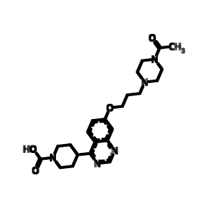 CC(=O)N1CCN(CCCOc2ccc3c(C4CCN(C(=O)O)CC4)ncnc3c2)CC1